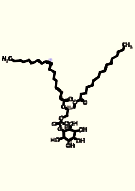 CCCCCCCC/C=C\CCCCCCCC(=O)O[C@H](COC(=O)CCCCCCCCCCCCCCC)COP(=O)(O)OC1C(O)C(O)C(O)[C@@H](O)C1O